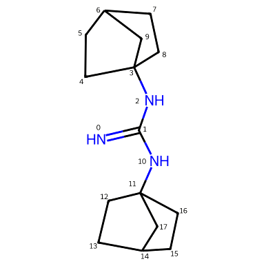 N=C(NC12CCC(CC1)C2)NC12CCC(CC1)C2